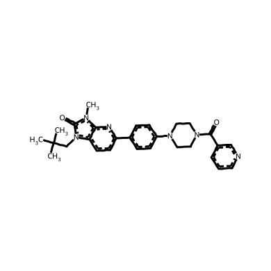 Cn1c(=O)n(CC(C)(C)C)c2ccc(-c3ccc(N4CCN(C(=O)c5cccnc5)CC4)cc3)nc21